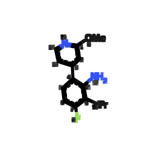 COc1cc(-c2ccc(F)c(C(C)C)c2N)ccn1